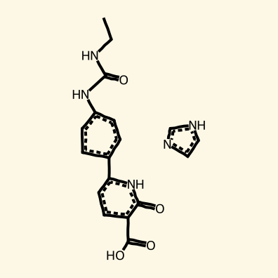 CCNC(=O)Nc1ccc(-c2ccc(C(=O)O)c(=O)[nH]2)cc1.c1c[nH]cn1